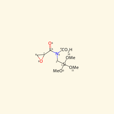 CO[Si](CN(C(=O)O)C(=O)C1CO1)(OC)OC